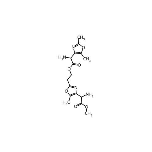 COC(=O)C(N)c1nc(CCOC(=O)C(N)c2nc(C)oc2C)oc1C